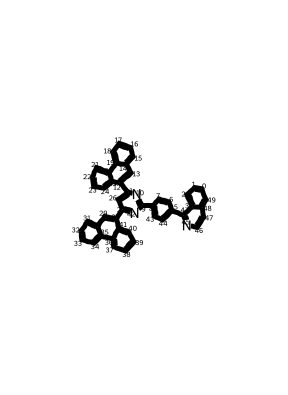 c1ccc2c(-c3ccc(-c4nc(-c5cc6ccccc6c6ccccc56)cc(-c5cc6ccccc6c6ccccc56)n4)cc3)nccc2c1